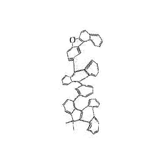 CC1(C)c2cccc(-c3cccc(-c4c5ccccc5c(-c5ccc6oc7ccc8ccccc8c7c6c5)c5ccccc45)c3)c2-c2c1c1ccccc1c1ccccc21